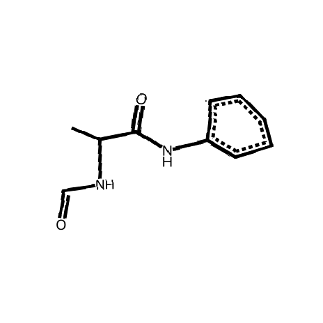 CC(NC=O)C(=O)Nc1[c]cccc1